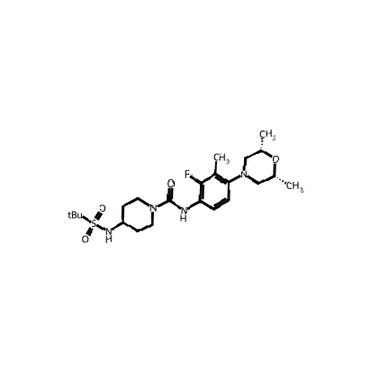 Cc1c(N2C[C@@H](C)O[C@@H](C)C2)ccc(NC(=O)N2CCC(NS(=O)(=O)C(C)(C)C)CC2)c1F